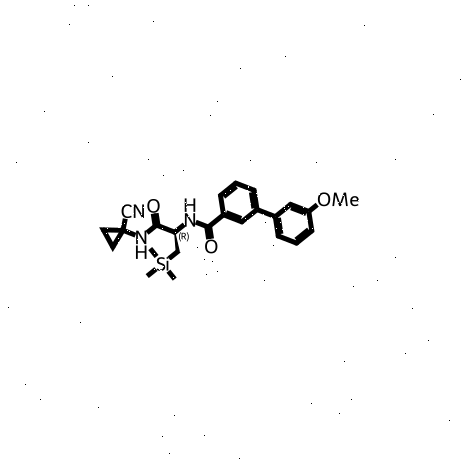 COc1cccc(-c2cccc(C(=O)N[C@@H](C[Si](C)(C)C)C(=O)NC3(C#N)CC3)c2)c1